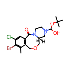 Cc1c(Br)c(Cl)cc2c1COC[C@H]1CN(C(O)OC(C)(C)C)CCN1C2=O